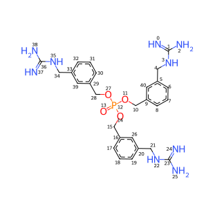 N=C(N)NCc1cccc(COP(=O)(OCc2cccc(CNC(=N)N)c2)OCc2cccc(CNC(=N)N)c2)c1